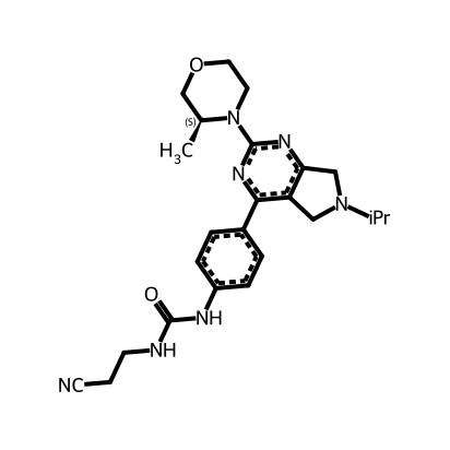 CC(C)N1Cc2nc(N3CCOC[C@@H]3C)nc(-c3ccc(NC(=O)NCCC#N)cc3)c2C1